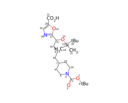 CC(C)(C)OC(=O)N1CCC(CCCC(O[Si](C)(C)C(C)(C)C)c2ncc(C(=O)O)o2)CC1